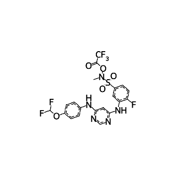 CN(OC(=O)C(F)(F)F)S(=O)(=O)c1ccc(F)c(Nc2cc(Nc3ccc(OC(F)F)cc3)ncn2)c1